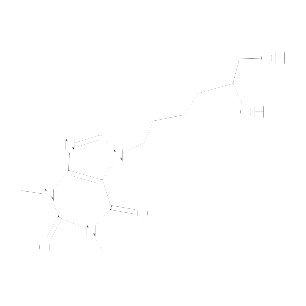 Cn1c(=O)c2c(ncn2CCCCC(O)CO)n(C)c1=O